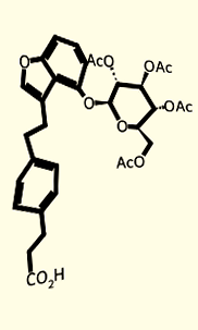 CC(=O)OC[C@H]1O[C@@H](Oc2cccc3occ(CCc4ccc(CCC(=O)O)cc4)c23)[C@H](OC(C)=O)[C@@H](OC(C)=O)[C@@H]1OC(C)=O